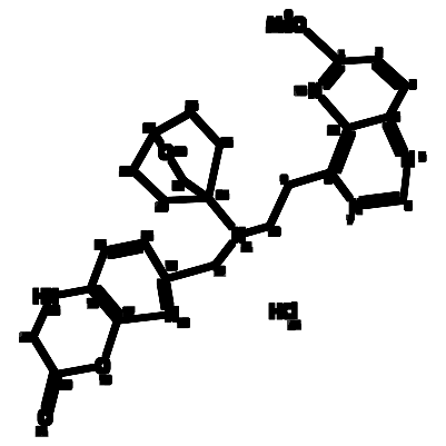 COc1ccc2ncnc(CCN(Cc3ccc4c(n3)OC(=O)CN4)C34CCC(CC3)OC4)c2n1.Cl